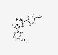 Cc1cccc(N(N)/C=C(\N)c2ccc(O)cc2)c1